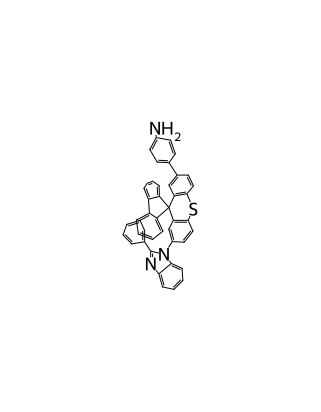 Nc1ccc(-c2ccc3c(c2)C2(c4cc(-n5c(-c6ccccc6)nc6ccccc65)ccc4S3)c3ccccc3-c3ccccc32)cc1